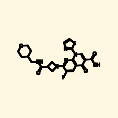 O=C(O)c1cn(-c2nccs2)c2nc(N3CC(C(=O)NCC4CCOCC4)C3)c(F)cc2c1=O